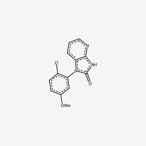 COc1ccc(Cl)c(-n2c(=O)[nH]c3ncccc32)c1